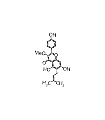 COc1c(-c2ccc(O)cc2)oc2cc(O)c(CC=C(C)C)c(O)c2c1=O